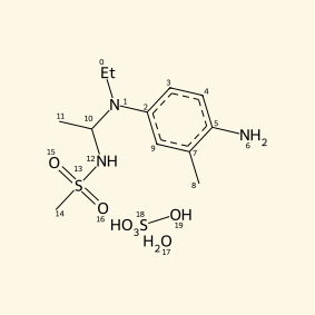 CCN(c1ccc(N)c(C)c1)C(C)NS(C)(=O)=O.O.O=S(=O)(O)O